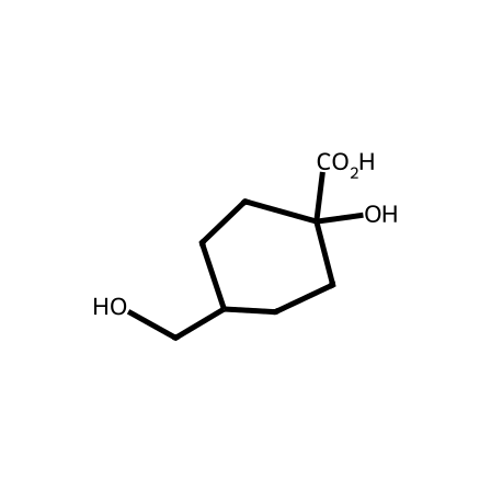 O=C(O)C1(O)CCC(CO)CC1